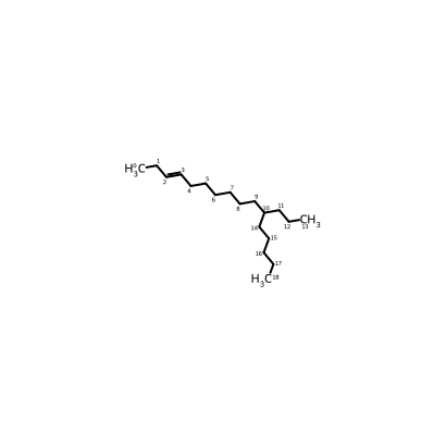 CCC=CCCCCCCC(CCC)CCCCC